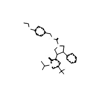 CCSc1ccc(CNC(=O)N2CC(c3ccccc3)C(c3cc(C(F)(F)F)cn(C(C)C)c3=O)C2)cc1